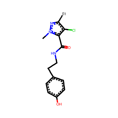 CCc1nn(C)c(C(=O)NCCc2ccc(O)cc2)c1Cl